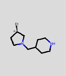 CC[C@@H]1CCN(CC2CCNCC2)C1